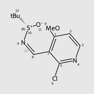 COc1ccnc(Cl)c1/C=N\[S@@+]([O-])C(C)(C)C